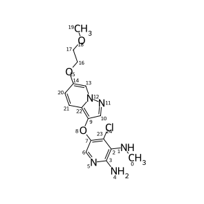 CNc1c(N)ncc(Oc2cnn3cc(OCCOC)ccc23)c1Cl